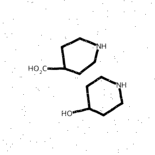 O=C(O)C1CCNCC1.OC1CCNCC1